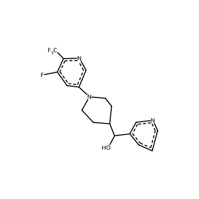 OC(c1cccnc1)C1CCN(c2cnc(C(F)(F)F)c(F)c2)CC1